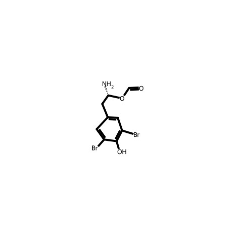 N[C@@H](Cc1cc(Br)c(O)c(Br)c1)OC=O